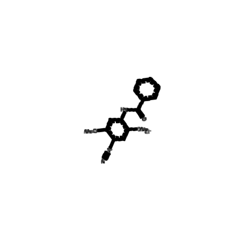 COc1cc(NC(=O)c2ccccc2)c(OC)cc1[N+]#N.[Cl-]